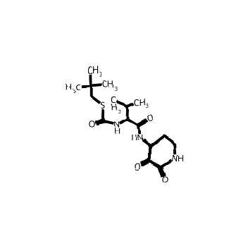 CC(C)C(NC(=O)SCC(C)(C)C)C(=O)NC1CCNC(=O)C1=O